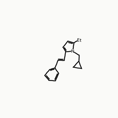 CCc1ccc(/C=C/c2ccccc2)n1CC1CC1